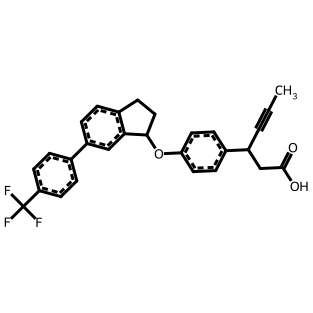 CC#CC(CC(=O)O)c1ccc(OC2CCc3ccc(-c4ccc(C(F)(F)F)cc4)cc32)cc1